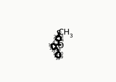 CSc1ccc(C(=O)c2ccccc2Cc2ccccc2)cc1